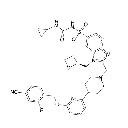 N#Cc1ccc(COc2cccc(C3CCN(Cc4nc5ccc(S(=O)(=O)NC(=O)NC6CC6)cc5n4C[C@@H]4CCO4)CC3)n2)c(F)c1